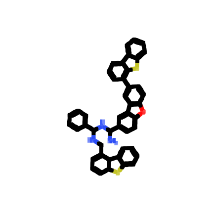 NC(NC(NCC1=CC=CC2Sc3ccccc3C12)c1ccccc1)c1ccc2oc3ccc(-c4cccc5c4sc4ccccc45)cc3c2c1